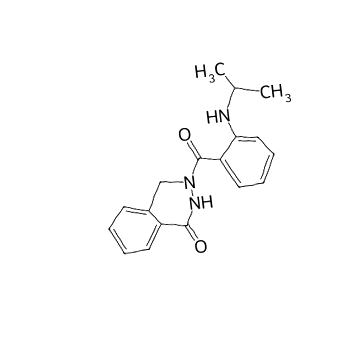 CC(C)Nc1ccccc1C(=O)N1Cc2ccccc2C(=O)N1